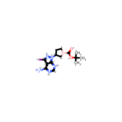 CC(C)(C)OC(=O)B1CCC(n2nc(I)c3c(N)ncnc32)C1